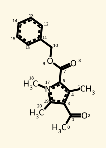 CC(=O)c1c(C)c(C(=O)OCc2ccccc2)n(C)c1C